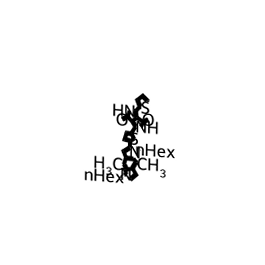 CCCCCCn1ccc2c(C)c3c(cc(-c4ccc(C5=C6C(=O)NC(c7cccs7)=C6C(=O)N5)s4)n3CCCCCC)c(C)c21